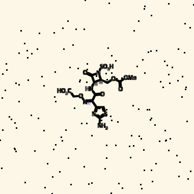 COC(=O)OC[C@H]1[C@@H](NC(=O)/C(=N\OCC(=O)O)c2csc(N)n2)C(=O)N1S(=O)(=O)O